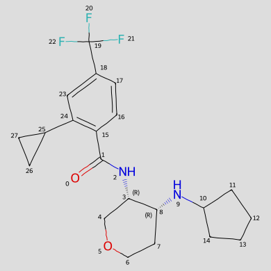 O=C(N[C@H]1COCC[C@H]1NC1CCCC1)c1ccc(C(F)(F)F)cc1C1CC1